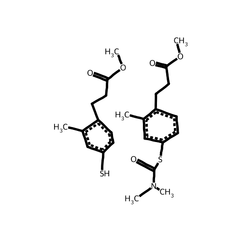 COC(=O)CCc1ccc(S)cc1C.COC(=O)CCc1ccc(SC(=O)N(C)C)cc1C